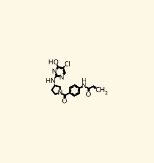 C=CC(=O)Nc1ccc(C(=O)N2CC[C@H](Nc3ncc(Cl)c(O)n3)C2)cc1